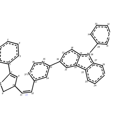 C1=C(c2ccccc2)SCC1/C=C\c1cc(-c2ccc3c(c2)c2ccccc2n3-c2ccccc2)ncn1